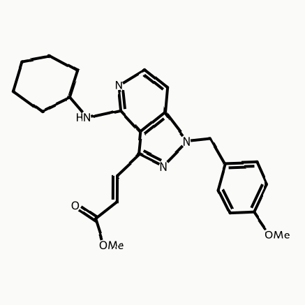 COC(=O)/C=C/c1nn(Cc2ccc(OC)cc2)c2ccnc(NC3CCCCC3)c12